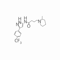 CC1CCCCN1CCCC(=O)Nc1cc(-c2ccc(C(F)(F)F)cc2)n[nH]1